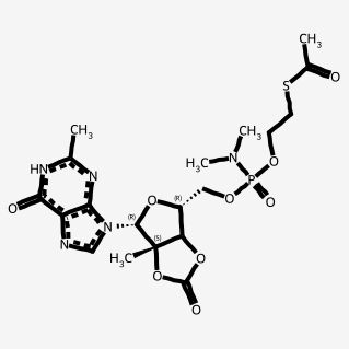 CC(=O)SCCOP(=O)(OC[C@H]1O[C@@H](n2cnc3c(=O)[nH]c(C)nc32)[C@@]2(C)OC(=O)OC12)N(C)C